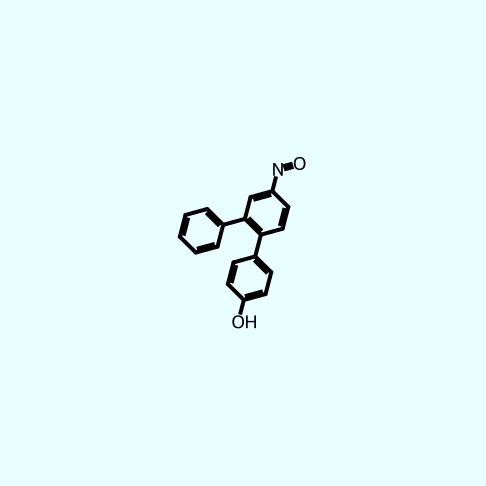 O=Nc1ccc(-c2ccc(O)cc2)c(-c2ccccc2)c1